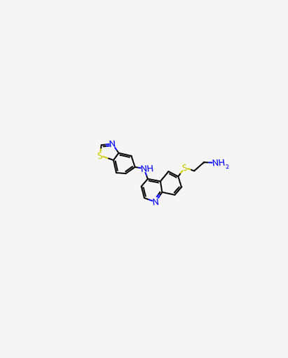 NCCSc1ccc2nccc(Nc3ccc4scnc4c3)c2c1